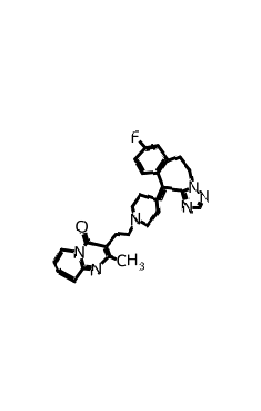 Cc1nc2ccccn2c(=O)c1CCN1CCC(=C2c3ccc(F)cc3CCn3ncnc32)CC1